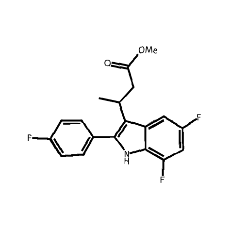 COC(=O)CC(C)c1c(-c2ccc(F)cc2)[nH]c2c(F)cc(F)cc12